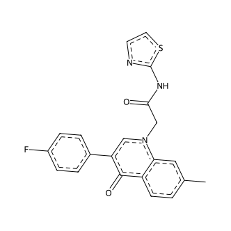 Cc1ccc2c(=O)c(-c3ccc(F)cc3)cn(CC(=O)Nc3nccs3)c2c1